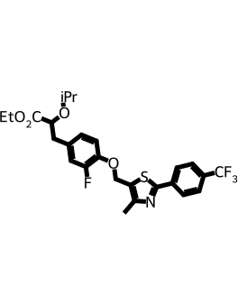 CCOC(=O)C(Cc1ccc(OCc2sc(-c3ccc(C(F)(F)F)cc3)nc2C)c(F)c1)OC(C)C